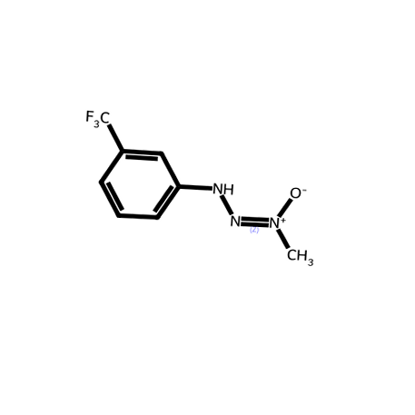 C/[N+]([O-])=N/Nc1cccc(C(F)(F)F)c1